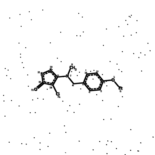 CCOc1ccc(CN(C)c2ssc(=O)c2Cl)cc1